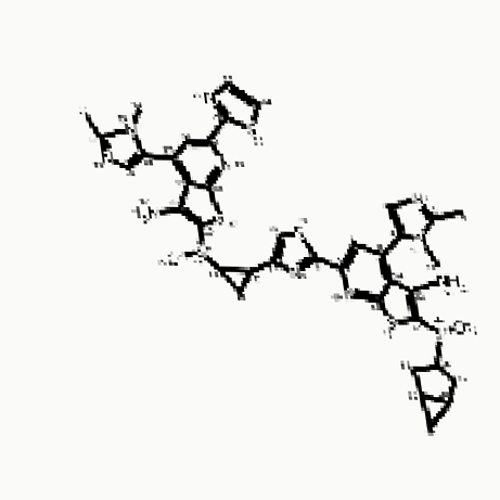 Cc1ncc(-c2cc(-c3nc(C4CC4[S+]([O-])c4sc5nc(-c6nccs6)cc(-c6cnc(C)n6C)c5c4N)cs3)nc3sc([S+]([O-])C4CC5CC5C4)c(N)c23)n1C